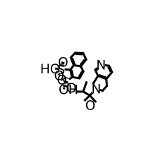 CC(C)C1(N2CCc3ccncc3C2)COC1.O=S(=O)(O)c1ccc2ccccc2c1S(=O)(=O)O